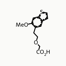 COc1cc2sccc2cc1CCOCC(=O)O